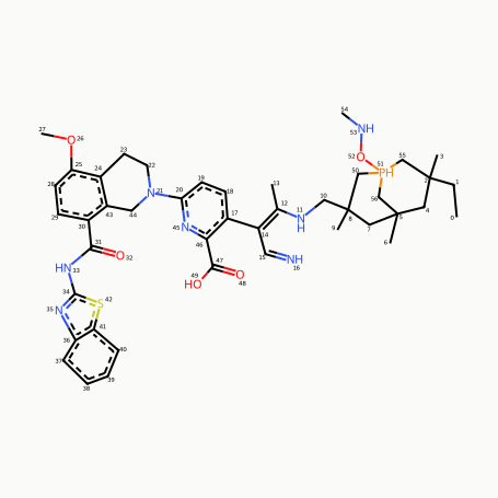 CCC1(C)CC2(C)CC(C)(CN/C(C)=C(\C=N)c3ccc(N4CCc5c(OC)ccc(C(=O)Nc6nc7ccccc7s6)c5C4)nc3C(=O)O)C[PH](ONC)(C1)C2